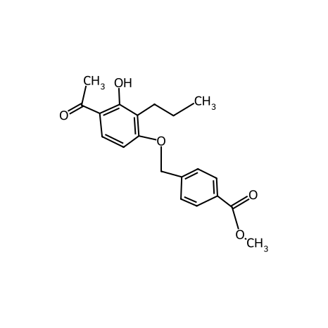 CCCc1c(OCc2ccc(C(=O)OC)cc2)ccc(C(C)=O)c1O